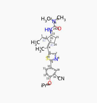 C/C=C1\C(=C(/C)c2cnc(-c3ccc(OC(C)C)c(C#N)c3)s2)CC[C@@H]1NC(=O)N(C)C